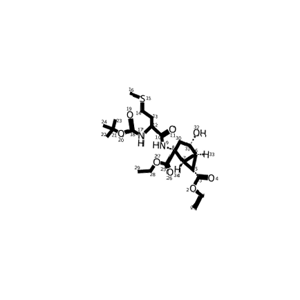 C=COC(=O)[C@H]1[C@H]2[C@@H]1[C@@](NC(=O)C(CCSC)NC(=O)OC(C)(C)C)(C(=O)OCC)C[C@@H]2O